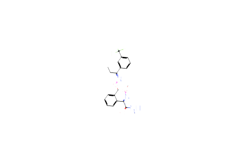 CC/C(=N\OCc1ccccc1/C(=N\OC)C(=O)NC)c1cccc(C(F)(F)F)c1